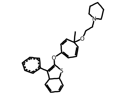 CC1(OCCN2CCCCC2)C=CC=C(OC2=C(c3ccccc3)C3C=CC=CC3S2)C=C1